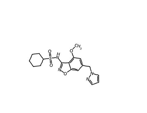 COc1cc(Cn2cccn2)cc2onc(NS(=O)(=O)C3CCCCC3)c12